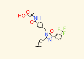 C[C@H](CC(=O)O)NC(=O)c1ccc(CCN2C(=O)C(c3cccc(C(F)(F)F)c3)=NC2=C=C=CC(C)(C)C)cc1